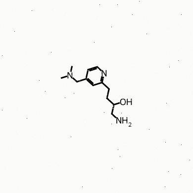 CN(C)Cc1ccnc(CCC(O)CN)c1